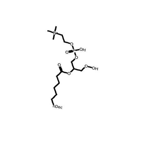 CCCCCCCCCCCCCCCC(=O)OC(COO)COP(=O)(O)OCC[N+](C)(C)C